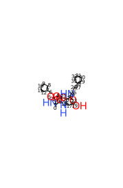 C[C@H](NC(=O)OCc1ccccc1)C(=O)NC(CCO)C(O)C(=O)NCCCc1ccccc1